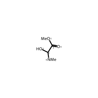 CNC(O)C(=O)OC